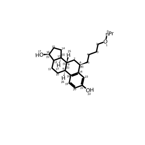 CCCOCCCC[C@@H]1C[C@@H]2[C@H](CCC3[C@H]2CC[C@@H]3O)c2ccc(O)cc21